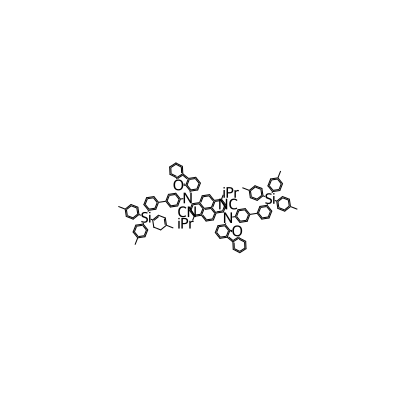 CC1=CC=C([Si](c2ccc(C)cc2)(c2ccc(C)cc2)c2cccc(-c3ccc(N(c4cc(C(C)C)c5ccc6c(N(c7ccc(-c8cccc([Si](c9ccc(C)cc9)(c9ccc(C)cc9)c9ccc(C)cc9)c8)cc7C#N)c7cccc8c7oc7ccccc78)cc(C(C)C)c7ccc4c5c76)c4cccc5c4oc4ccccc45)c(C#N)c3)c2)CC1